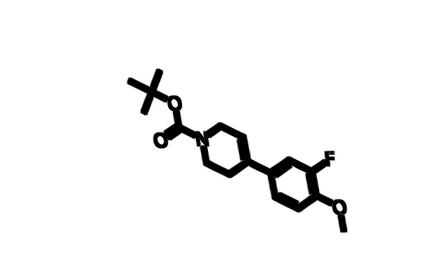 COc1ccc(C2=CCN(C(=O)OC(C)(C)C)CC2)cc1F